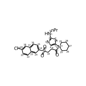 CCCNc1ncc([N+]2(C(=O)CCS(=O)(=O)c3ccc4cc(Cl)ccc4c3)CCCCC2)s1